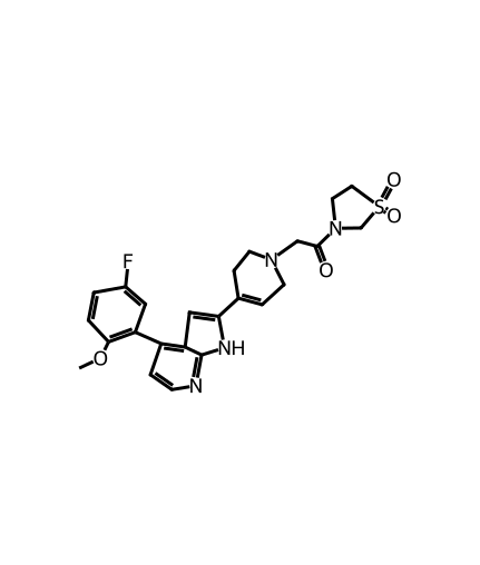 COc1ccc(F)cc1-c1ccnc2[nH]c(C3=CCN(CC(=O)N4CCS(=O)(=O)C4)CC3)cc12